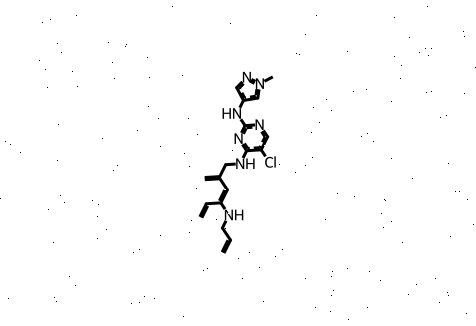 C=CCN/C(C=C)=C/C(=C)CNc1nc(Nc2cnn(C)c2)ncc1Cl